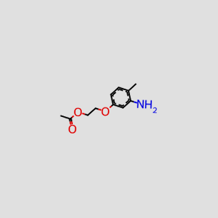 CC(=O)OCCOc1ccc(C)c(N)c1